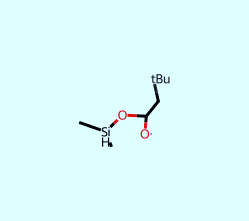 C[SiH](C)OC([O])CC(C)(C)C